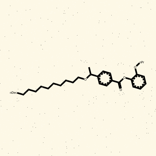 CCCCCCCCCCCCCCCCCCCCOC(C)c1ccc(C(=O)Oc2ccccc2OCCC)cc1